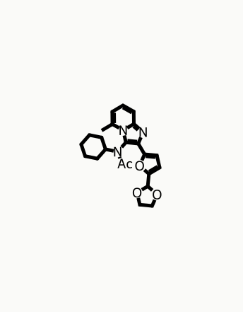 CC(=O)N(c1c(-c2ccc(C3OCCO3)o2)nc2cccc(C)n12)C1CCCCC1